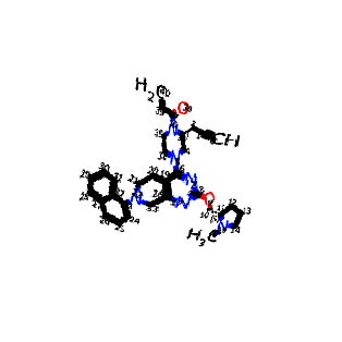 C#CC[C@H]1CN(c2nc(OC[C@@H]3CCCN3C)nc3c2CCN(c2cccc4ccccc24)C3)CCN1C(=O)C=C